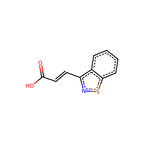 O=C(O)/C=C/c1nsc2ccccc12